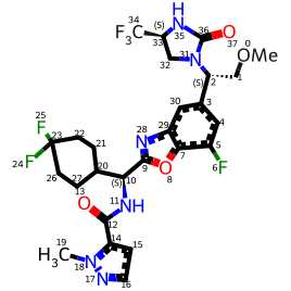 COC[C@H](c1cc(F)c2oc([C@@H](NC(=O)c3ccnn3C)C3CCC(F)(F)CC3)nc2c1)N1C[C@@H](C(F)(F)F)NC1=O